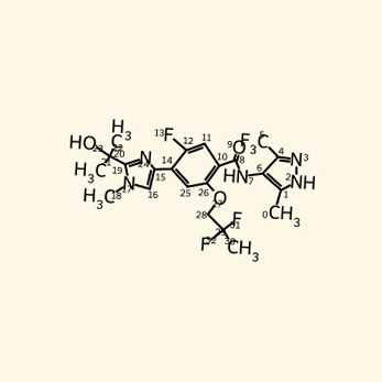 Cc1[nH]nc(C(F)(F)F)c1NC(=O)c1cc(F)c(-c2cn(C)c(C(C)(C)O)n2)cc1OCC(C)(F)F